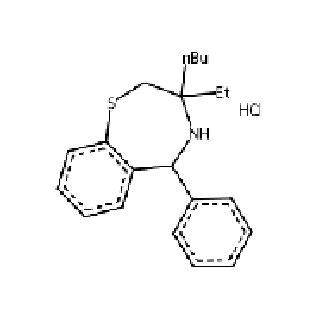 CCCCC1(CC)CSc2ccccc2C(c2ccccc2)N1.Cl